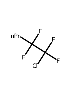 CCCC(F)(F)C(F)(F)Cl